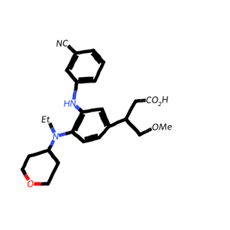 CCN(c1ccc(C(COC)CC(=O)O)cc1Nc1cccc(C#N)c1)C1CCOCC1